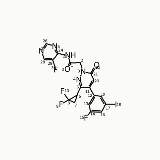 O=C(Cn1nc(C2CC2(F)F)c(-c2cc(F)cc(I)c2)cc1=O)Nc1ncncc1F